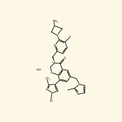 CCn1cc(-c2cc(Cn3ccnc3C)cc3c2OC[C@@H](Cc2ccc(F)c(N4CC(N)C4)n2)C3=O)c(C(F)(F)F)n1.Cl